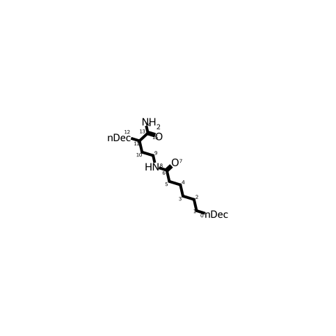 CCCCCCCCCCCCCCCC(=O)NCCC(CCCCCCCCCC)C(N)=O